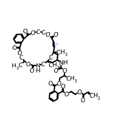 C=CC(=O)OCCOC(=O)c1ccccc1C(=O)OCC(C)OC(=O)NC1CC2(C)/C=C\C(=O)OCCOC(=O)c3ccccc3C(=O)OCC(C)OC(=O)NCC(C)(C1)C2